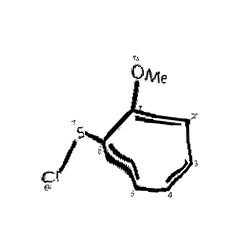 COc1ccccc1SCl